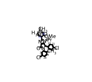 COC(=C/N(C)C)/C(=C\C=O)c1nc2c(n1C(C)C)C(c1ccc(Cl)cc1)N(c1cc(Cl)ccc1C)C2=O